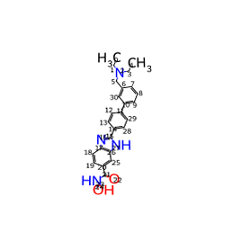 CCN(CC)Cc1cccc(-c2ccc(-c3nc4ccc(C(=O)NO)cc4[nH]3)cc2)c1